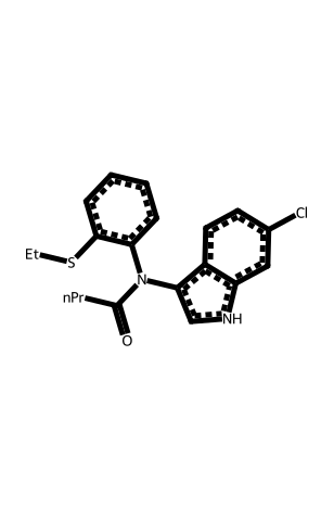 CCCC(=O)N(c1ccccc1SCC)c1c[nH]c2cc(Cl)ccc12